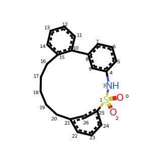 O=S1(=O)Nc2cccc(c2)-c2ccccc2CCCCCc2cccc1c2